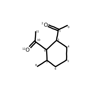 CC(=O)C1CCCC(C)C1C(C)=O